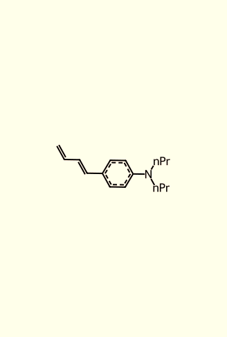 C=CC=Cc1ccc(N(CCC)CCC)cc1